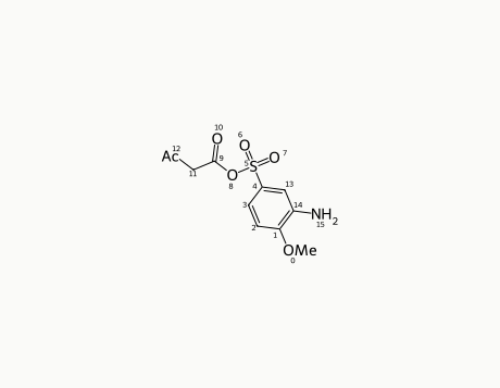 COc1ccc(S(=O)(=O)OC(=O)CC(C)=O)cc1N